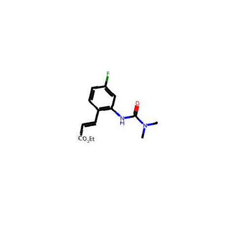 CCOC(=O)C=Cc1ccc(F)cc1NC(=O)N(C)C